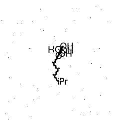 CC(=CCCCOC[C@H](O)[C@@H](O)[C@H](O)CO)CCCC(C)CCCC(C)CCCC(C)C